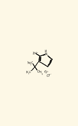 CC(C)(C)c1cc[nH][c]1[Zr+2].[Cl-].[Cl-]